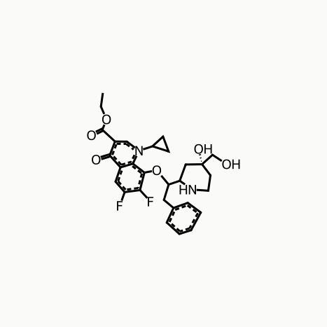 CCOC(=O)c1cn(C2CC2)c2c(OC(Cc3ccccc3)C3C[C@@](O)(CO)CCN3)c(F)c(F)cc2c1=O